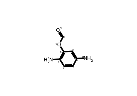 Nc1ccc(N)c(O[C]=O)c1